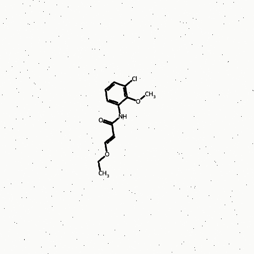 CCOC=CC(=O)Nc1cccc(Cl)c1OC